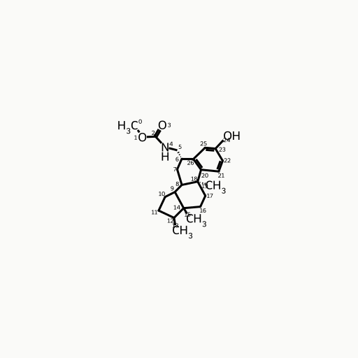 COC(=O)NC[C@H]1CC2C3CCC(C)C3(C)CC[C@]2(C)c2ccc(O)cc21